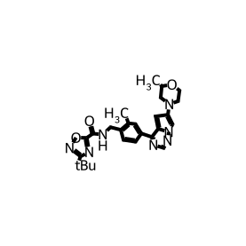 Cc1cc(-c2ncnn3cc(N4CCOC(C)C4)cc23)ccc1CNC(=O)c1nc(C(C)(C)C)no1